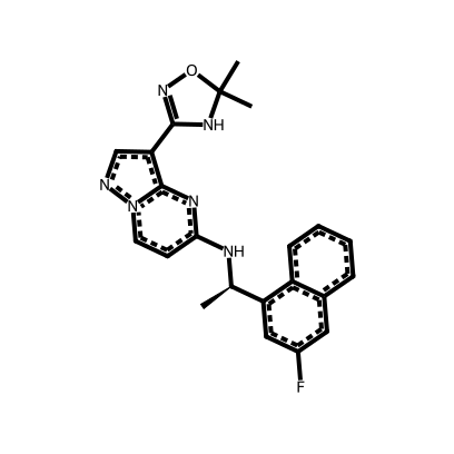 C[C@@H](Nc1ccn2ncc(C3=NOC(C)(C)N3)c2n1)c1cc(F)cc2ccccc12